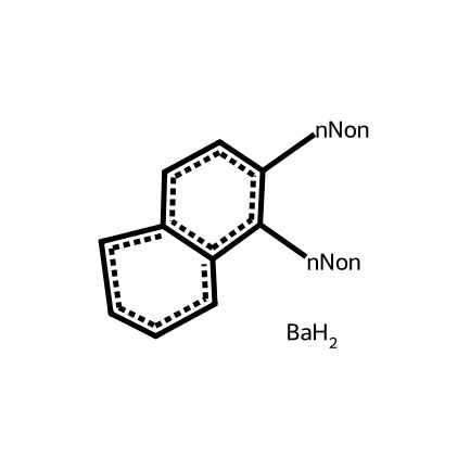 CCCCCCCCCc1ccc2ccccc2c1CCCCCCCCC.[BaH2]